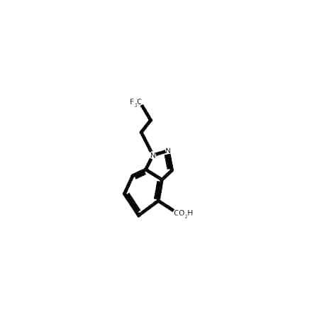 O=C(O)c1cccc2c1cnn2CCC(F)(F)F